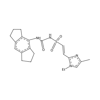 CCn1cc(C)nc1C=CS(=O)(=O)NC(=O)Nc1c2c(cc3c1CCC3)CCC2